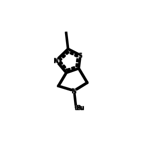 Cc1nc2c(s1)CN(C(C)(C)C)C2